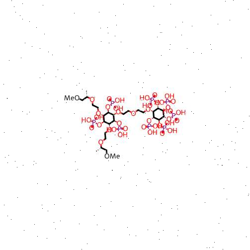 COC[C@H](C)OCCO[C@@H]1[C@@H](OP(=O)(O)O)[C@H](OCCO[C@@H](C)COC)[C@@H](OP(=O)(O)O)[C@@H](OCCOCCO[C@H]2[C@@H](OP(=O)(O)O)[C@H](OP(=O)(O)O)[C@@H](OP(=O)(O)O)[C@H](OP(=O)(O)O)[C@H]2OP(=O)(O)O)[C@H]1OP(=O)(O)O